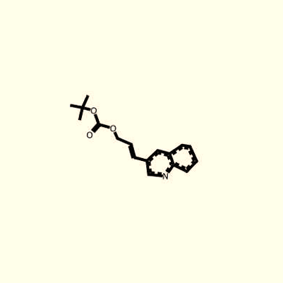 CC(C)(C)OC(=O)OCC=Cc1cnc2ccccc2c1